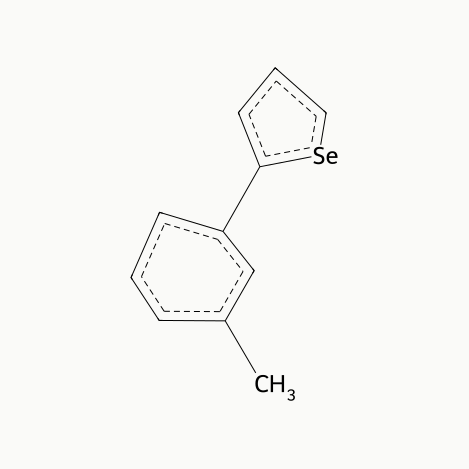 Cc1cccc(-c2ccc[se]2)c1